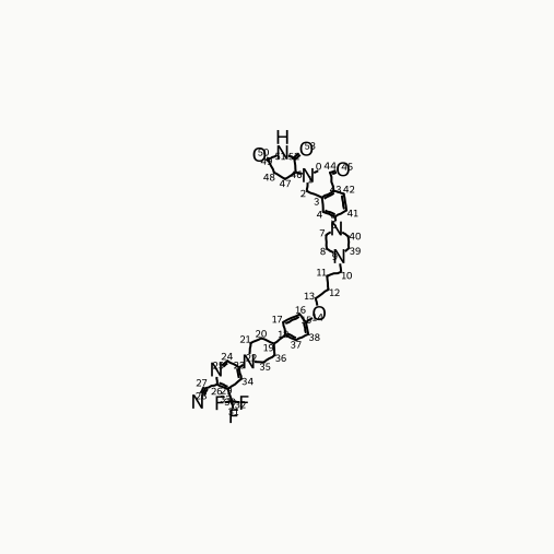 CN(Cc1cc(N2CCN(CCCCOc3ccc(C4CCN(c5cnc(C#N)c(C(F)(F)F)c5)CC4)cc3)CC2)ccc1C=O)C1CCC(=O)NC1=O